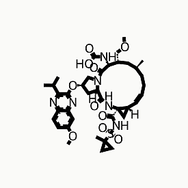 COC[C@@H]1C[C@@H](C)CCC=C[C@@H]2C[C@@]2(C(=O)NS(=O)(=O)C2(C)CC2)NC(=O)[C@@H]2C[C@@H](Oc3nc4cc(OC)ccc4nc3C(C)C)CN2C(=O)[C@H]1NC(=O)O